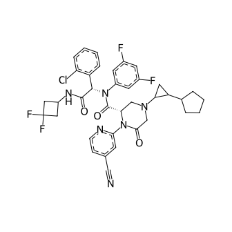 N#Cc1ccnc(N2C(=O)CN(C3CC3C3CCCC3)C[C@H]2C(=O)N(c2cc(F)cc(F)c2)[C@H](C(=O)NC2CC(F)(F)C2)c2ccccc2Cl)c1